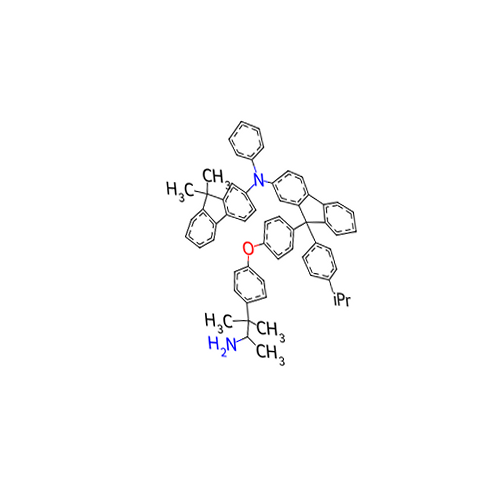 CC(C)c1ccc(C2(c3ccc(Oc4ccc(C(C)(C)C(C)N)cc4)cc3)c3ccccc3-c3ccc(N(c4ccccc4)c4ccc5c(c4)C(C)(C)c4ccccc4-5)cc32)cc1